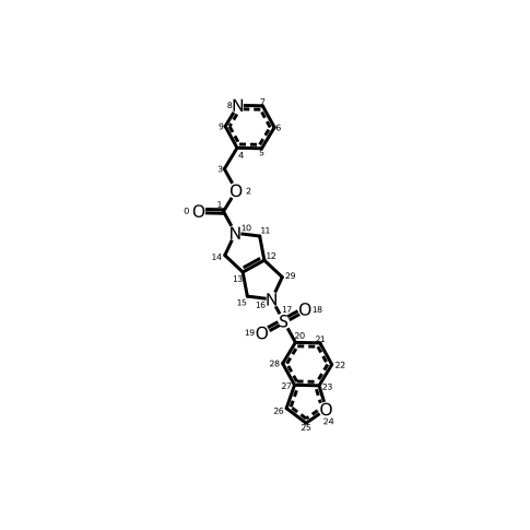 O=C(OCc1cccnc1)N1CC2=C(C1)CN(S(=O)(=O)c1ccc3occc3c1)C2